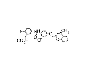 CN1C[C@@H](COc2ccc(C(=O)Nc3ccc(F)c(CC(=O)O)c3)c(Cl)c2)Oc2ccccc21